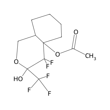 CC(=O)OC12CCCCC1COC(O)(C(F)(F)F)C2(F)F